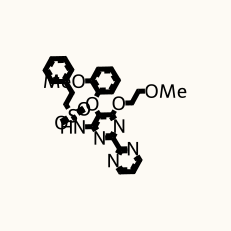 COCCOc1nc(-c2ncccn2)nc(NS(=O)(=O)CCc2ccccc2)c1Oc1ccccc1OC